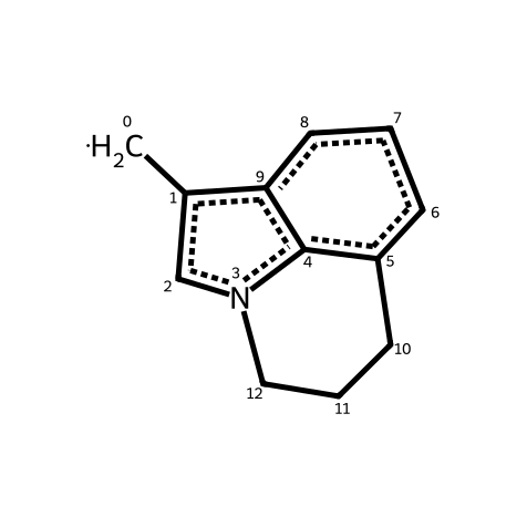 [CH2]c1cn2c3c(cccc13)CCC2